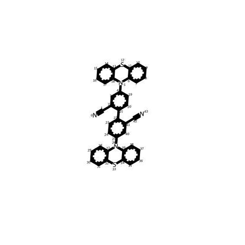 N#Cc1cc(N2c3ccccc3Sc3ccccc32)ccc1-c1ccc(N2c3ccccc3Sc3ccccc32)cc1C#N